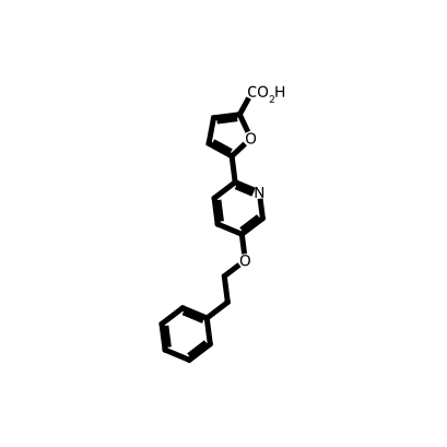 O=C(O)c1ccc(-c2ccc(OCCc3ccccc3)cn2)o1